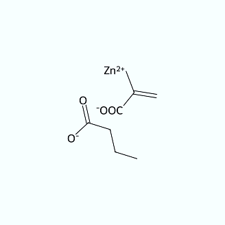 C=C(C)C(=O)[O-].CCCC(=O)[O-].[Zn+2]